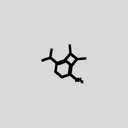 CC(C)C1=C2C(=C(N)CC1)C(C)C2C